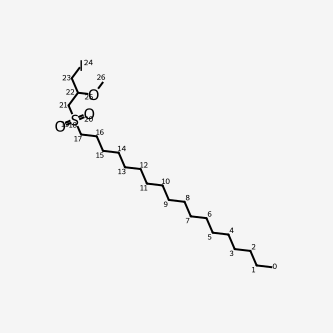 CCCCCCCCCCCCCCCCCCS(=O)(=O)CC(CI)OC